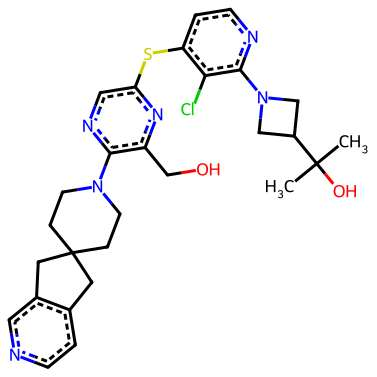 CC(C)(O)C1CN(c2nccc(Sc3cnc(N4CCC5(CC4)Cc4ccncc4C5)c(CO)n3)c2Cl)C1